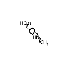 C=CCNC[C@H]1CC[C@H](CC(=O)O)CC1